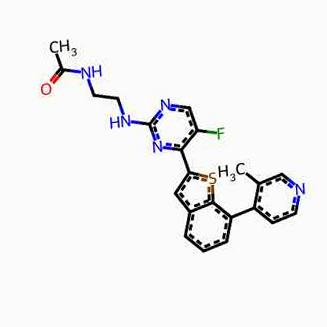 CC(=O)NCCNc1ncc(F)c(-c2cc3cccc(-c4ccncc4C)c3s2)n1